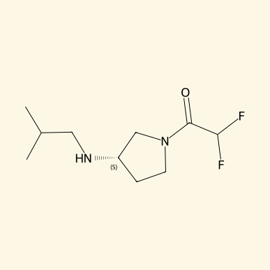 CC(C)CN[C@H]1CCN(C(=O)C(F)F)C1